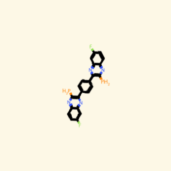 Fc1ccc2nc(P)c(-c3ccc(-c4nc5cc(F)ccc5nc4P)cc3)nc2c1